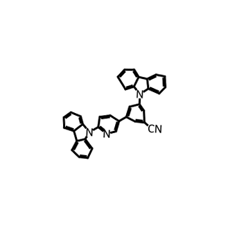 N#Cc1cc(-c2ccc(-n3c4ccccc4c4ccccc43)nc2)cc(-n2c3ccccc3c3ccccc32)c1